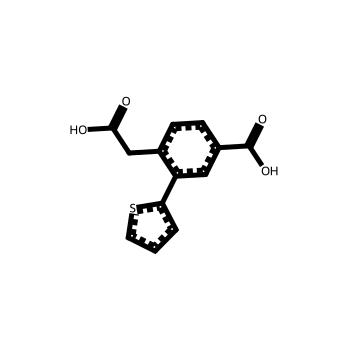 O=C(O)Cc1ccc(C(=O)O)cc1-c1cccs1